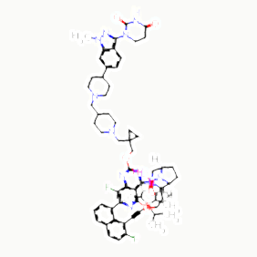 CC(C)[Si](C#Cc1c(F)ccc2cccc(-c3nc4c5c(nc(OCC6(CN7CCC(CN8CCC(c9ccc%10c(N%11CCC(=O)NC%11=O)nn(C)c%10c9)CC8)CC7)CC6)nc5c3F)N3C[C@H]5CC[C@@H]([C@H]3CCO4)N5C(=O)O)c12)(C(C)C)C(C)C